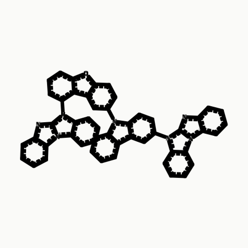 c1ccc2c(c1)nc1n(-c3ccc4c(c3)c3ccccc3n4-c3ccc4oc5cccc(-n6c7ccccc7n7c8ccccc8nc67)c5c4c3)c3ccccc3n21